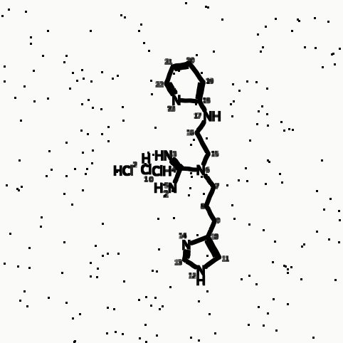 Cl.Cl.Cl.N=C(N)N(CCCc1c[nH]cn1)CCNc1ccccn1